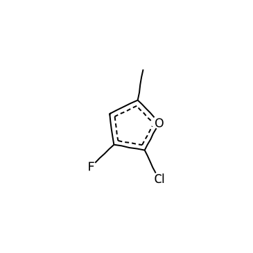 Cc1cc(F)c(Cl)o1